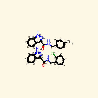 Cc1ccc(CNC(=O)c2n[nH]c3ccccc23)cc1.O=C(NCc1ccccc1Cl)c1n[nH]c2ccccc12